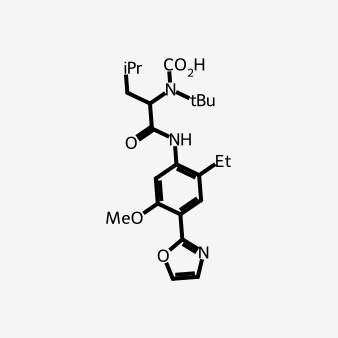 CCc1cc(-c2ncco2)c(OC)cc1NC(=O)C(CC(C)C)N(C(=O)O)C(C)(C)C